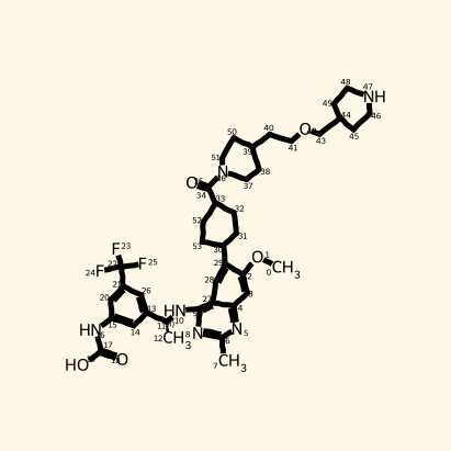 COc1cc2nc(C)nc(N[C@H](C)c3cc(NC(=O)O)cc(C(F)(F)F)c3)c2cc1C1CCC(C(=O)N2CCC(CCOCC3CCNCC3)CC2)CC1